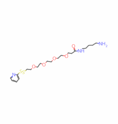 NCCCCCNC(=O)CCOCCOCCOCCOCCSSc1ccccn1